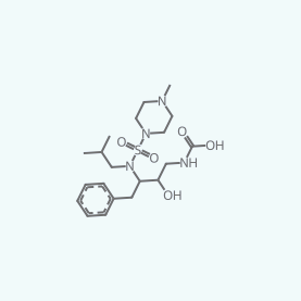 CC(C)CN(C(Cc1ccccc1)C(O)CNC(=O)O)S(=O)(=O)N1CCN(C)CC1